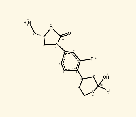 NC[C@H]1CN(c2ccc(C3CCSC(O)(O)C3)c(F)c2)C(=O)O1